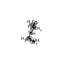 COc1cc(CC(=O)NCCCN(C)C(=O)N[C@H](C)CC(=O)O)ccc1NC(=O)Nc1ccccc1C